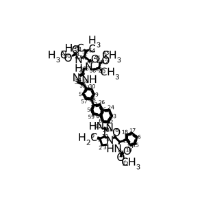 C=C1CCN(C(=O)[C@H](NC(=O)OC)c2ccccc2)[C@@H]1c1nc2ccc3cc(-c4ccc(-c5cnc(CN(C[C@H](C)COC)C(=O)[C@@H](NC(=O)OC)C(C)C)[nH]5)cc4)ccc3c2[nH]1